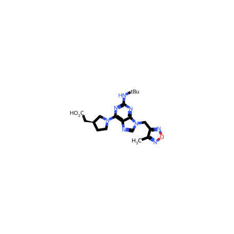 Cc1nonc1Cn1cnc2c(N3CC[C@@H](CC(=O)O)C3)nc(NC(C)(C)C)nc21